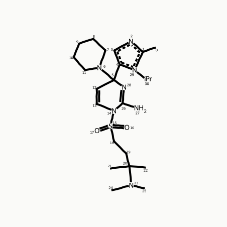 Cc1ncc(C2(N3CCCCC3)C=CN(S(=O)(=O)CCC(C)(C)N(C)C)C(N)=N2)n1C(C)C